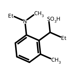 CCC(c1c(C)cccc1N(C)CC)S(=O)(=O)O